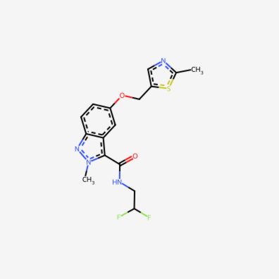 Cc1ncc(COc2ccc3nn(C)c(C(=O)NCC(F)F)c3c2)s1